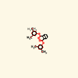 Cc1cc(C)cc(OC(=O)C2C3C=CC(C2C(=O)Oc2cc(C)cc(C)c2)C(C(=O)Oc2cc(C)cc(C)c2)C3C(=O)Oc2cc(C)cc(C)c2)c1